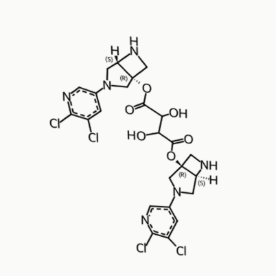 O=C(O[C@@]12CN[C@H]1CN(c1cnc(Cl)c(Cl)c1)C2)C(O)C(O)C(=O)O[C@@]12CN[C@H]1CN(c1cnc(Cl)c(Cl)c1)C2